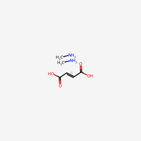 CN.CN.O=C(O)/C=C/C(=O)O